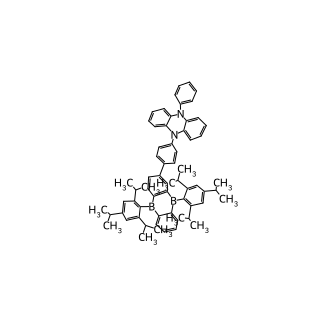 CC(C)c1cc(C(C)C)c(B2c3ccccc3B(c3c(C(C)C)cc(C(C)C)cc3C(C)C)c3cc(-c4ccc(N5c6ccccc6N(c6ccccc6)c6ccccc65)cc4)ccc32)c(C(C)C)c1